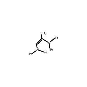 CC(=CN(C(C)C)C(C)C)N(C(C)C)C(C)C